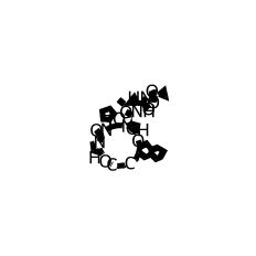 C=C[C@@H]1C[C@]1(NC(=O)[C@@H]1C[C@@H]2CN1C(=O)[C@H](C1CCCC1)NC(=O)N1CC[C@@H](C1)OCCCCCc1cc3ccccc3cc1O2)C(=O)NS(=O)(=O)C1CC1